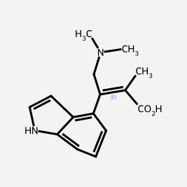 C/C(C(=O)O)=C(\CN(C)C)c1cccc2[nH]ccc12